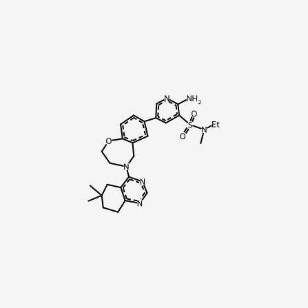 CCN(C)S(=O)(=O)c1cc(-c2ccc3c(c2)CN(c2ncnc4c2CC(C)(C)CC4)CCO3)cnc1N